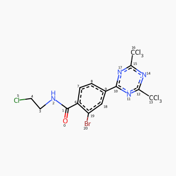 O=C(NCCCl)c1ccc(-c2nc(C(Cl)(Cl)Cl)nc(C(Cl)(Cl)Cl)n2)cc1Br